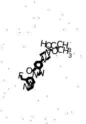 CC(C)(C)OC(=O)N1CCN(c2ccc3c(=O)n(-c4cc(CF)c5nccn5c4)cnc3c2)CC1